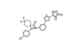 O=C(Nc1cccc(-c2csc(-c3noc(=O)[nH]3)c2)c1)C1(Oc2ccc(Cl)cc2)CCC(F)(F)CC1